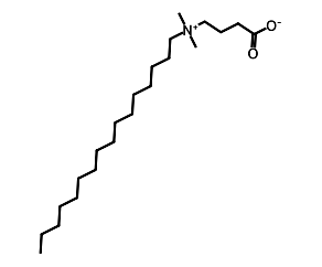 CCCCCCCCCCCCCCCC[N+](C)(C)CCCC(=O)[O-]